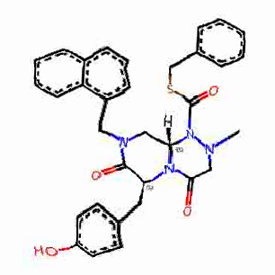 CN1CC(=O)N2[C@@H](Cc3ccc(O)cc3)C(=O)N(Cc3cccc4ccccc34)C[C@@H]2N1C(=O)SCc1ccccc1